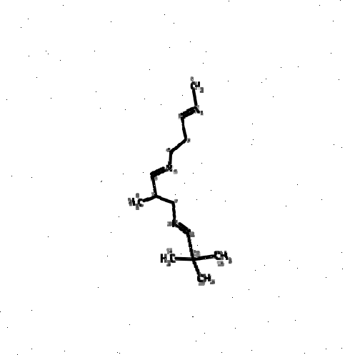 CN=CCCN=CC(C)CN=CC(C)(C)C